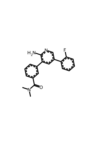 CN(C)C(=O)c1cccc(-c2cc(-c3ccccc3F)cnc2N)c1